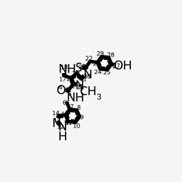 Cn1c(C(=O)NCc2cccc3[nH]ncc23)c(C=N)c2sc(Cc3ccc(O)cc3)nc21